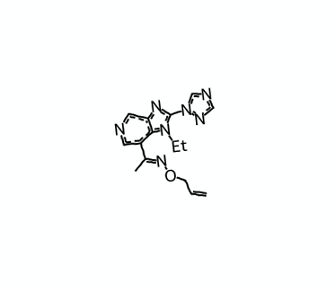 C=CCON=C(C)c1cncc2nc(-n3cncn3)n(CC)c12